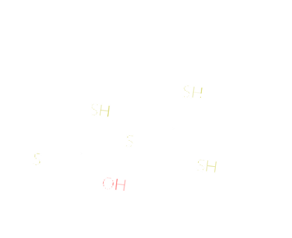 OC(=S)S.S=C(S)S